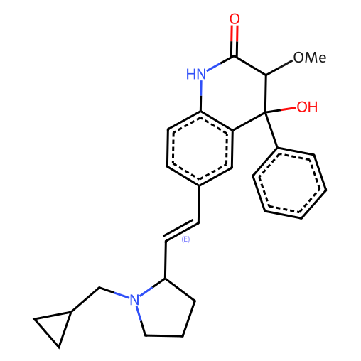 COC1C(=O)Nc2ccc(/C=C/C3CCCN3CC3CC3)cc2C1(O)c1ccccc1